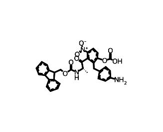 C[C@H](NC(=O)OCC1c2ccccc2-c2ccccc21)C(=O)c1c([N+](=O)[O-])ccc(OC(=O)O)c1Cc1ccc(N)cc1